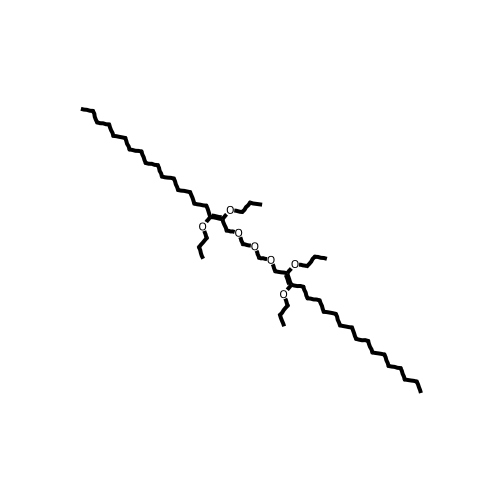 CCCCCCCCCCCCCCCCC(OCCC)=C(COCOCOCC(OCCC)=C(CCCCCCCCCCCCCCCC)OCCC)OCCC